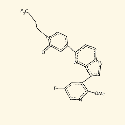 COc1ncc(F)cc1-c1cnn2ccc(-c3ccn(CCC(F)(F)F)c(=O)c3)nc12